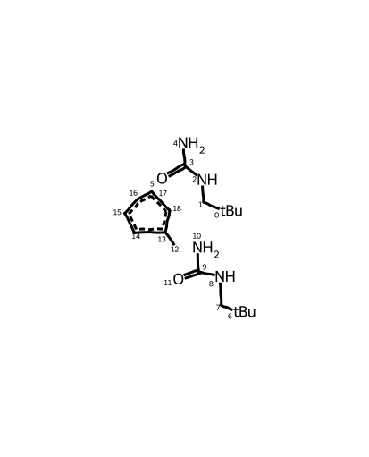 CC(C)(C)CNC(N)=O.CC(C)(C)CNC(N)=O.Cc1ccccc1